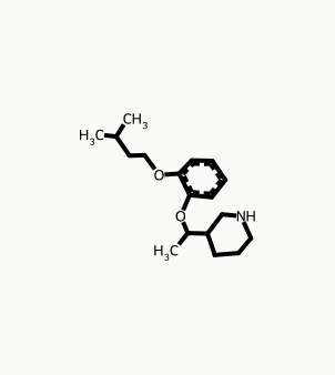 CC(C)CCOc1ccccc1OC(C)C1CCCNC1